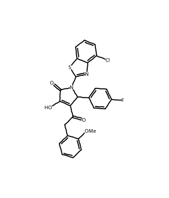 COc1ccccc1CC(=O)C1=C(O)C(=O)N(c2nc3c(Cl)cccc3s2)C1c1ccc(F)cc1